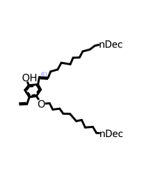 C=Cc1cc(O)c(/C=C/CCCCCCCCCCCCCCCCCCC)cc1OCCCCCCCCCCCCCCCCCCCC